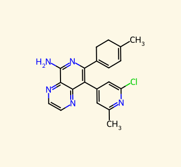 CC1=CC=C(c2nc(N)c3nccnc3c2-c2cc(C)nc(Cl)c2)CC1